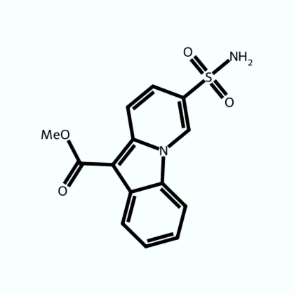 COC(=O)c1c2ccccc2n2cc(S(N)(=O)=O)ccc12